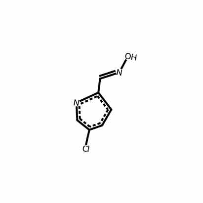 ON=Cc1ccc(Cl)cn1